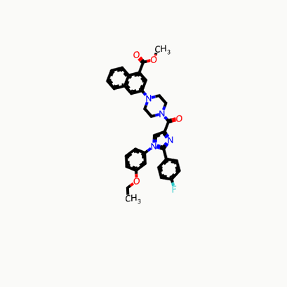 CCOc1cccc(-n2cc(C(=O)N3CCN(c4cc(C(=O)OC)c5ccccc5c4)CC3)nc2-c2ccc(F)cc2)c1